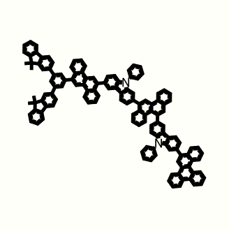 CC1(C)c2ccccc2-c2ccc(-c3cc(-c4ccc5c(c4)C(C)(C)c4ccccc4-5)cc(-c4cc5c6ccccc6c(-c6ccc7c(c6)c6ccc(-c8cc9c%10ccccc%10cc(-c%10ccc%11c(c%10)c%10ccc(-c%12cc%13c%14ccccc%14c%14ccccc%14c%13c%13ccccc%12%13)cc%10n%11-c%10ccccc%10)c9c9ccccc89)cc6n7-c6ccccc6)cc5c5ccccc45)c3)cc21